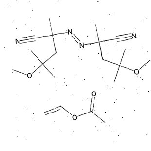 C=COC(C)=O.COC(C)(C)CC(C)(C#N)N=NC(C)(C#N)CC(C)(C)OC